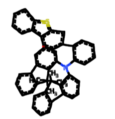 CC1(C)c2ccccc2-c2cccc(N(c3ccccc3-c3ccc4c(c3)sc3ccccc34)c3cccc4c3C(C)(C)c3ccccc3-4)c21